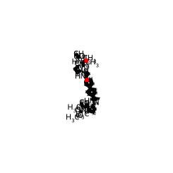 COC(=O)NC(C(=O)N1[C@@H](C)CC[C@H]1c1ncc(-c2ccc(-c3ccc(-c4cnc([C@@H]5CC[C@H](C)N5C(=O)C(NC(=O)OC)C(C)C)[nH]4)cc3)cc2)[nH]1)C(C)C